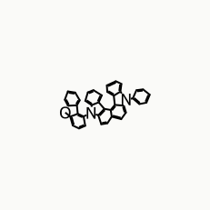 c1ccc(-n2c3ccccc3c3c4c(ccc32)ccc2c4c3ccccc3n2-c2cccc3oc4ccccc4c23)cc1